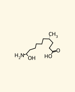 C[C@@H](CCCCC[C@H](N)O)CCC(=O)O